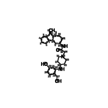 Cn1c2ccccc2c2cc(NC(=O)CN3CCC(Nc4cc(O)ccc4CO)CC3)ccc21